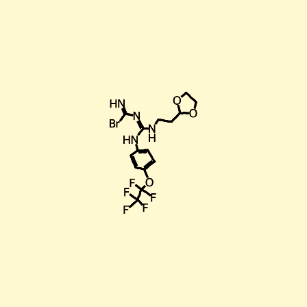 N=C(Br)/N=C(/NCCC1OCCO1)Nc1ccc(OC(F)(F)C(F)(F)F)cc1